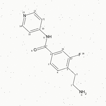 NCCc1ccc(C(=O)Nc2ccncc2)cc1F